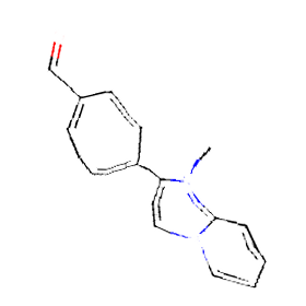 C[n+]1c(-c2ccc(C=O)cc2)cn2ccccc21